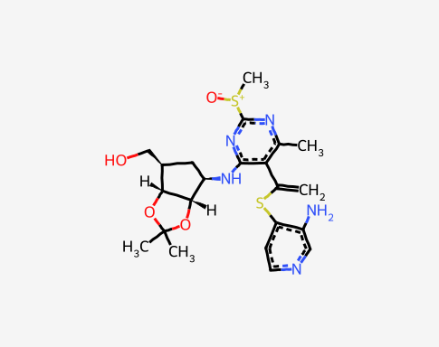 C=C(Sc1ccncc1N)c1c(C)nc([S+](C)[O-])nc1N[C@@H]1C[C@H](CO)[C@H]2OC(C)(C)O[C@H]21